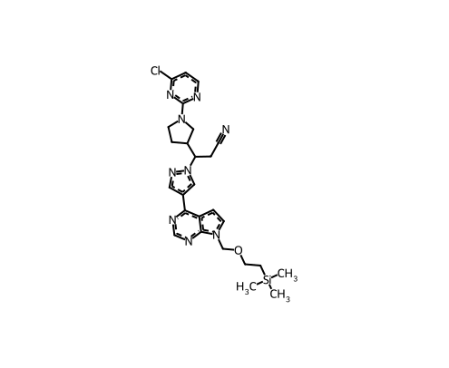 C[Si](C)(C)CCOCn1ccc2c(-c3cnn(C(CC#N)C4CCN(c5nccc(Cl)n5)C4)c3)ncnc21